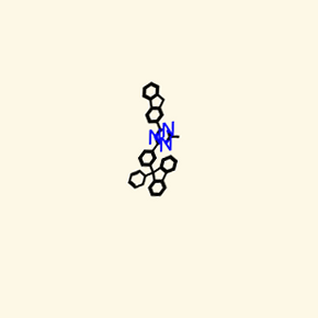 Cc1nc(-c2cccc(C3(C4C=CC=CC4)c4ccccc4-c4ccccc43)c2)nc(-c2ccc3c(c2)Cc2ccccc2-3)n1